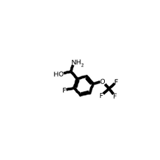 NC(O)c1cc(OC(F)(F)F)ccc1F